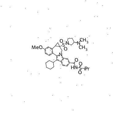 COc1ccc2c(c1)C1CC1(S(=O)(=O)N1CC[C@@H](N(C)C)C1)Cn1c-2c(C2CCCCC2)c2ccc(C(=O)NS(=O)(=O)C(C)C)cc21